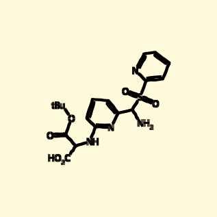 CC(C)(C)OC(=O)C(Nc1cccc(C(N)S(=O)(=O)c2ccccn2)n1)C(=O)O